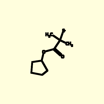 CC(C)([S])C(=O)OC1CCCC1